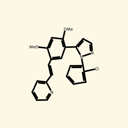 COc1cc(OC)c(-c2ccnn2-c2ccccc2Cl)cc1/C=C/c1ccccn1